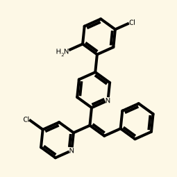 Nc1ccc(Cl)cc1-c1ccc(/C(=C\c2ccccc2)c2cc(Cl)ccn2)nc1